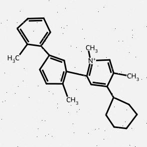 Cc1ccccc1-c1ccc(C)c(-c2cc(C3CCCCC3)c(C)c[n+]2C)c1